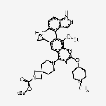 CCOc1c(-c2c(C)ccc3[nH]ncc23)c(C2CC2)cc2c(N3CCC4(CC3)CN(C(=O)OC(C)(C)C)C4)nc(OC3CCN(C)CC3)nc12